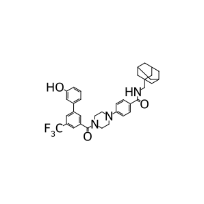 O=C(NCC12CC3CC(CC(C3)C1)C2)c1ccc(N2CCN(C(=O)c3cc(-c4cccc(O)c4)cc(C(F)(F)F)c3)CC2)cc1